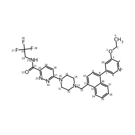 CCOc1cncc(-c2ccc(CN3CCN(c4ccc(C(=O)NCC(F)(F)F)nn4)CC3)c3ccccc23)c1